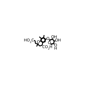 Cc1c(O[C@@H]2O[C@H](C(=O)O)[C@@H](O)[C@H](O)[C@H]2O)cc2c(c1C)OC(C)(CCC(=O)O)CC2